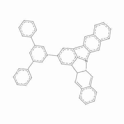 C1=c2ccccc2=CC2C1c1cc(-c3cc(-c4ccccc4)cc(-c4ccccc4)c3)cc3c4cc5ccccc5cc4n2c13